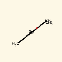 CCCCCCCCC=CCCCCCCCCCC(=O)OCCCCCCCCCCCCCCCCCCCC(C)C